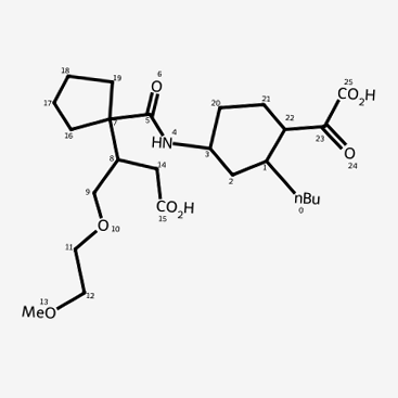 CCCCC1CC(NC(=O)C2(C(COCCOC)CC(=O)O)CCCC2)CCC1C(=O)C(=O)O